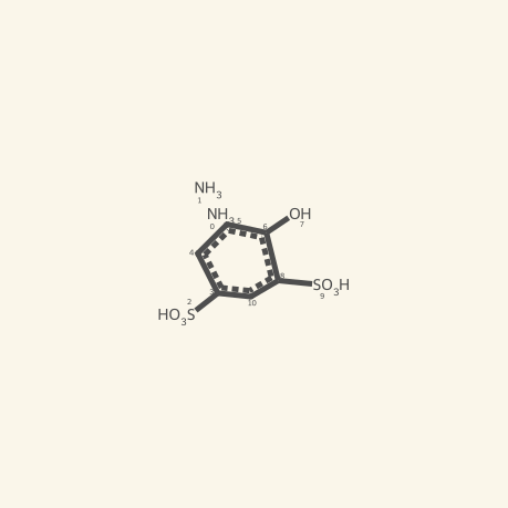 N.N.O=S(=O)(O)c1ccc(O)c(S(=O)(=O)O)c1